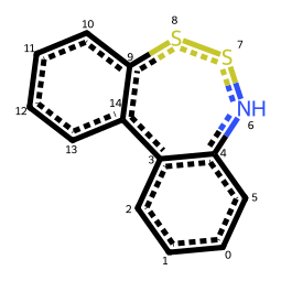 c1ccc2c(c1)[nH]ssc1ccccc12